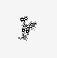 COc1ccc([C@H](NC(=O)[C@H](Cc2ccc(CNC(=O)OC(C)(C)C)cc2)NC(=O)OCC2c3ccccc3-c3ccccc32)C(=O)N[C@@H](C(C)C)[C@@H](O)C(F)(F)C(=O)NCC(F)(F)F)cc1